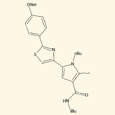 CCCCn1c(-c2csc(-c3ccc(OC)cc3)n2)cc(C(=O)NC(C)CC)c1C